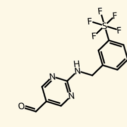 O=Cc1cnc(NCc2cccc(S(F)(F)(F)(F)F)c2)nc1